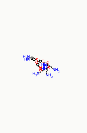 N=C(N)c1ccc2cc(OC(=O)c3ccc(OCCNC(=O)[C@H](CCCCCN)NC(=O)[C@H](CCCCN)NC[C@H](CCCCN)NC(=O)OCc4ccccc4)cc3)ccc2c1